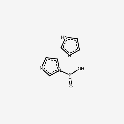 O=[PH](O)n1ccnc1.c1c[nH]cn1